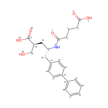 O=C(O)CCCC(=O)N[C@H](Cc1ccc(-c2ccccc2)cc1)C[C@@H](CO)C(=O)O